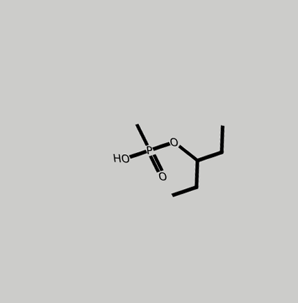 CCC(CC)OP(C)(=O)O